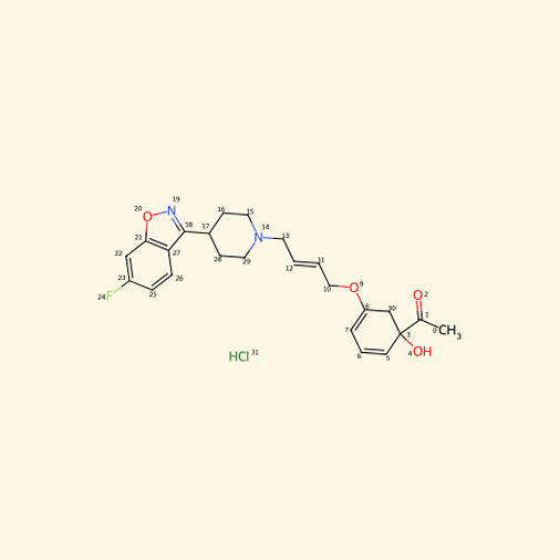 CC(=O)C1(O)C=CC=C(OC/C=C/CN2CCC(c3noc4cc(F)ccc34)CC2)C1.Cl